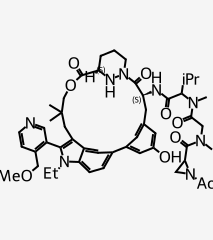 CCn1c(-c2cnccc2COC)c2c3cc(ccc31)-c1cc(O)cc(c1)C[C@H](NC(=O)C(C(C)C)N(C)C(=O)CN(C)C(=O)C1CN1C(C)=O)C(=O)N1CCC[C@H](N1)C(=O)OCC(C)(C)C2